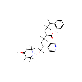 CCCCOC(=O)C(CC(C)(C)C(C)c1ccccc1)C(C)(C)CC(c1ccncc1)C(C)(C)ON1C(C)(CC)CC(=O)C(C)C1(C)CC